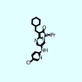 CC(C)n1c(=O)c(CC2CCCCC2)c2ncc(Nc3ccc(Cl)cn3)cn21